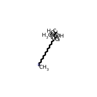 C/C=C\CCCCCCCCCCCCCOP(=O)(O)C(CC)[N+](C)(C)C